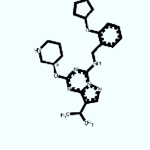 CC(C)c1cnn2c(NCc3ccccc3OC3CCCC3)nc(O[C@@H]3CCCNC3)nc12